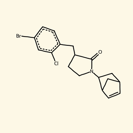 O=C1C(Cc2ccc(Br)cc2Cl)CCN1C1CC2C=CC1C2